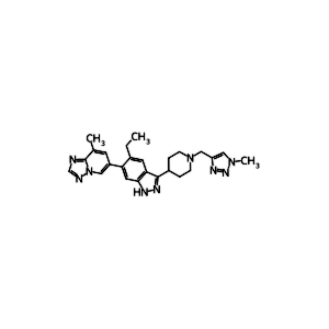 CCc1cc2c(C3CCN(Cc4cn(C)nn4)CC3)n[nH]c2cc1-c1cc(C)c2ncnn2c1